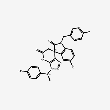 Cc1ccc(CN2C(=O)[C@]3(CC(=O)Nc4c3nnn4[C@@H](C)c3ccc(Cl)cc3)c3cc(Cl)ccc32)cn1